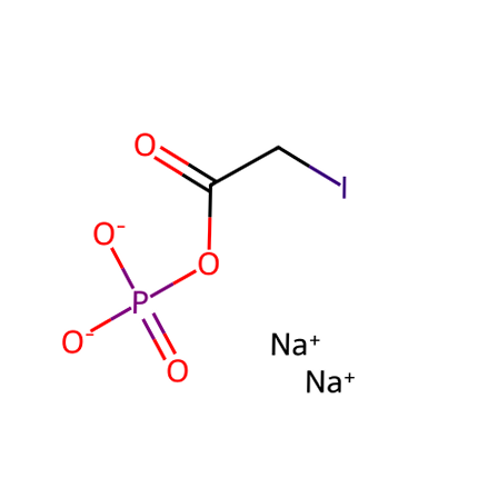 O=C(CI)OP(=O)([O-])[O-].[Na+].[Na+]